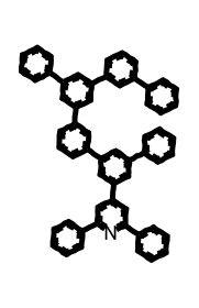 c1ccc(-c2cccc(-c3cc(-c4ccccc4)cc(-c4cccc(-c5cc(-c6ccccc6)cc(-c6cc(-c7ccccc7)nc(-c7ccccc7)c6)c5)c4)c3)c2)cc1